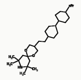 CCCC1CCC(C2CCC(CCC3COC4(CC(C)(C)NC(C)(C)C4)OC3)CC2)CC1